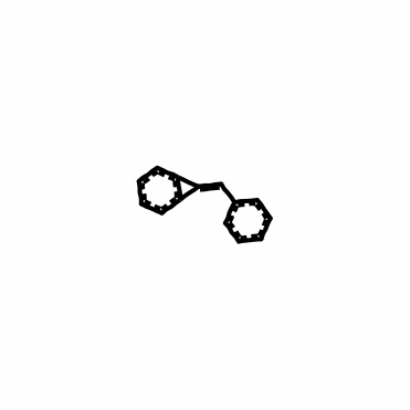 C(=C1c2ccccc21)c1ccccc1